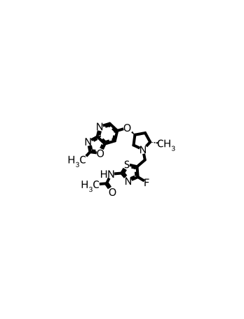 CC(=O)Nc1nc(F)c(CN2C[C@H](Oc3cnc4nc(C)oc4c3)C[C@@H]2C)s1